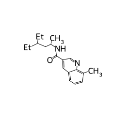 CCC(CC)CC(C)NC(=O)c1cnc2c(C)cccc2c1